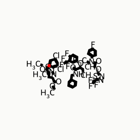 CC(C)N(C(=O)COc1nnc(C(F)(F)F)s1)c1ccc(F)cc1.CCC(Oc1ccc(F)c(C(F)(F)F)c1)C(=O)NCc1ccccc1.CCOC(=O)C1=NN(c2ccc(Cl)cc2Cl)C(C)(C(=O)OCC)C1